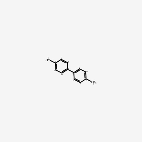 CCCc1ccc(-c2ccc(C)cc2)cc1